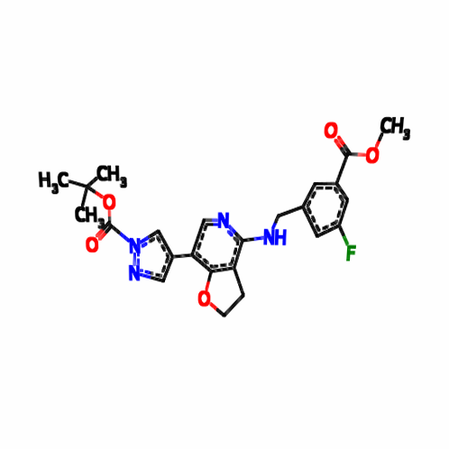 COC(=O)c1cc(F)cc(CNc2ncc(-c3cnn(C(=O)OC(C)(C)C)c3)c3c2CCO3)c1